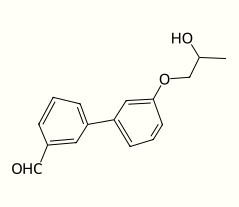 CC(O)COc1cccc(-c2cccc(C=O)c2)c1